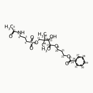 CC(=O)NCCCS(=O)(=O)OCC(C)(C)[C@@H](O)C(=O)OCCCOC(=O)c1ccccc1